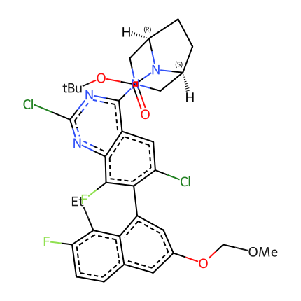 CCc1c(F)ccc2cc(OCOC)cc(-c3c(Cl)cc4c(N5C[C@H]6CC[C@@H](C5)N6C(=O)OC(C)(C)C)nc(Cl)nc4c3F)c12